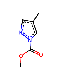 COC(=O)n1cc(C)cn1